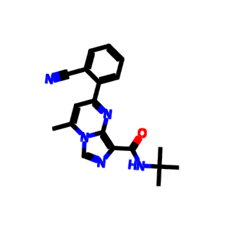 Cc1cc(-c2ccccc2C#N)nc2c(C(=O)NC(C)(C)C)ncn12